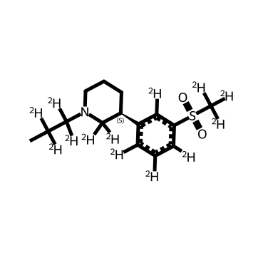 [2H]c1c([2H])c([C@@H]2CCCN(C([2H])([2H])C([2H])([2H])C)C2([2H])[2H])c([2H])c(S(=O)(=O)C([2H])([2H])[2H])c1[2H]